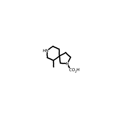 CC1CNCCC12CCN(C(=O)O)C2